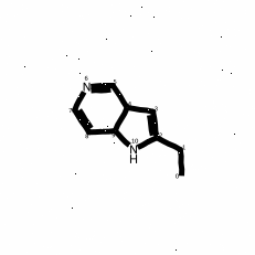 CCC1=CC2C=NC=CC2N1